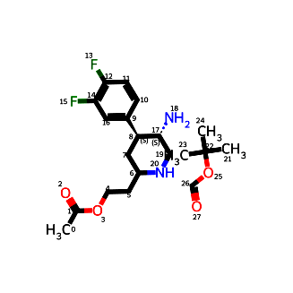 CC(=O)OCCC1C[C@@H](c2ccc(F)c(F)c2)[C@H](N)CN1.CC(C)(C)OC=O